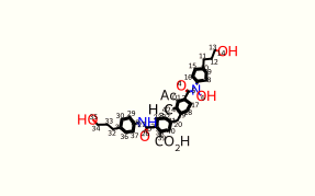 CC(=O)c1c(C(=O)N(O)c2ccc(CCCO)cc2)ccc(Cc2ccc(C(=O)Nc3ccc(CCCO)cc3)c(C(=O)O)c2)c1C